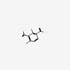 NC(=O)c1ccc(Cl)c(C(N)=O)c1Cl